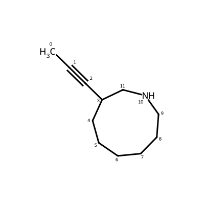 CC#CC1CCCCCCNC1